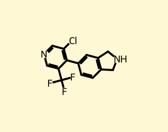 FC(F)(F)c1cncc(Cl)c1-c1ccc2c(c1)CNC2